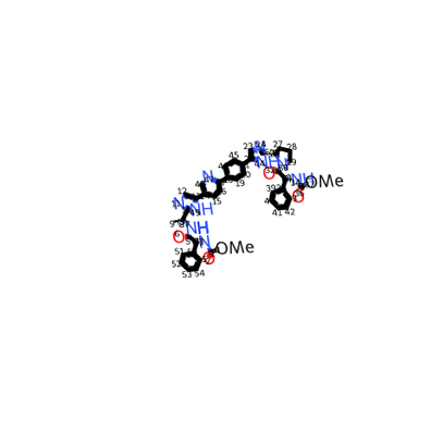 COC(=O)N[C@@H](C(=O)N[C@@H](C)c1ncc(-c2ccc(-c3ccc(-c4cnc([C@@H]5CCCN5C(=O)[C@H](NC(=O)OC)c5ccccc5)[nH]4)cc3)nc2)[nH]1)c1ccccc1